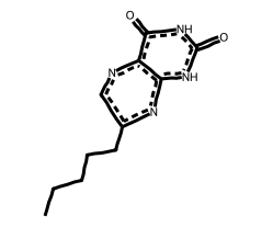 CCCCCc1cnc2c(=O)[nH]c(=O)[nH]c2n1